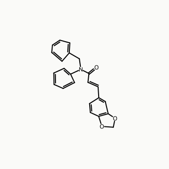 O=C(/C=C/c1ccc2c(c1)OCO2)N(Cc1ccccc1)c1ccccc1